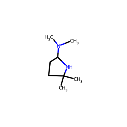 CN(C)C1CCC(C)(C)N1